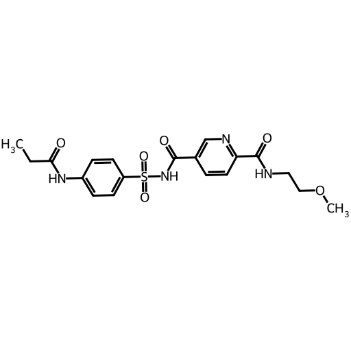 CCC(=O)Nc1ccc(S(=O)(=O)NC(=O)c2ccc(C(=O)NCCOC)nc2)cc1